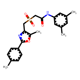 Cc1ccc(-c2nc(CS(=O)(=O)CC(=O)Nc3cc(C)cc(C)c3)c(C)o2)cc1